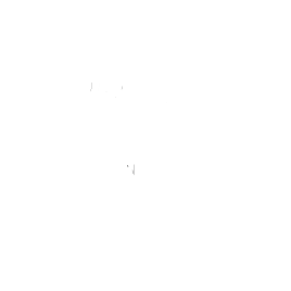 C/C(C(=O)O)=C(\C)N(C)C